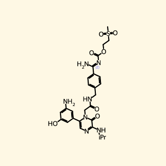 CC(C)Nc1ncc(-c2cc(N)cc(O)c2)n(CC(=O)NCc2ccc(/C(N)=N/C(=O)OCCS(C)(=O)=O)cc2)c1=O